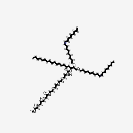 CCCCCCCC/C=C\CCCCCCCCOCC(OCCCCCCCC/C=C\CCCCCCCC)C(CCCCCCCCCCCCCCCC)OC(=O)NCCOCCOCCOCCOC(=O)CNCCCNCCOC